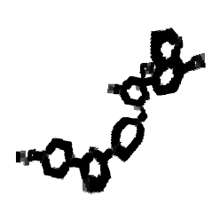 CN1CCN(c2nccc(N3CCN(C[C@@H]4CNC[C@@](C)(c5ccc(C#N)c6ncccc56)O4)CC3)n2)CC1